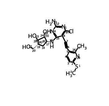 CSc1ccc(C#Cc2c(Cl)nc(N)nc2N[C@@H]2C[C@H](CO)[C@@H](O)[C@H]2O)c(C)n1